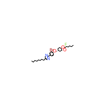 CCCCCCCCc1cnc(-c2ccc(OC[C@H]3CC[C@H](OC(=O)[C@@H](F)CCCC)CC3)c(Br)c2)nc1